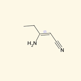 CC/C(N)=C/C#N